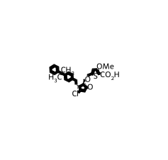 COc1cc(COC[C@H]2C(=O)C=C(Cl)[C@@H]2CCc2ccc(C(C)(C)c3ccccc3)cc2)sc1C(=O)O